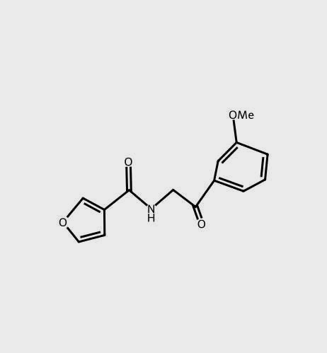 COc1cccc(C(=O)CNC(=O)c2ccoc2)c1